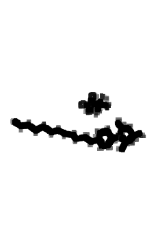 CCCCCCCCCCCCc1ccc(-[n+]2c(C)cc(C)cc2C)cc1.O=S(=O)([O-])C(F)(F)F